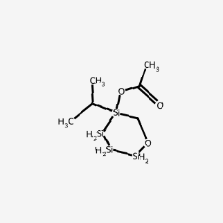 CC(=O)O[Si]1(C(C)C)CO[SiH2][SiH2][SiH2]1